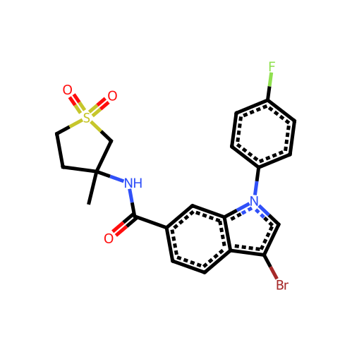 CC1(NC(=O)c2ccc3c(Br)cn(-c4ccc(F)cc4)c3c2)CCS(=O)(=O)C1